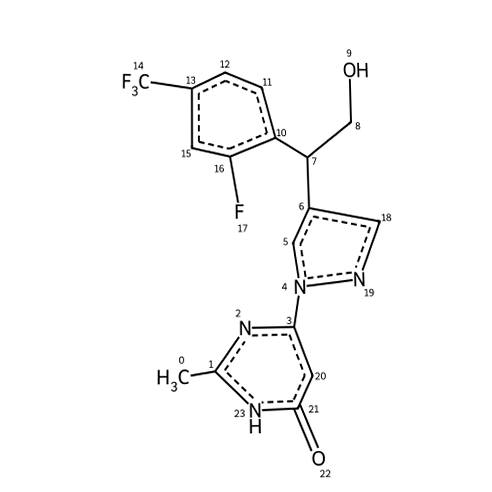 Cc1nc(-n2cc(C(CO)c3ccc(C(F)(F)F)cc3F)cn2)cc(=O)[nH]1